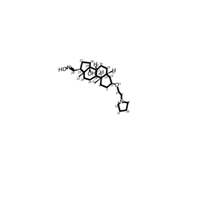 C[C@]12CC[C@H](OCCN3CCCC3)C[C@H]1CC[C@@H]1[C@@H]2CC[C@]2(C)[C@@H](/C=N/O)CC[C@]12O